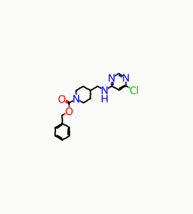 O=C(OCc1ccccc1)N1CCC(CNc2cc(Cl)ncn2)CC1